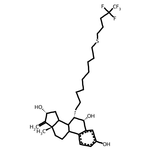 C=C1[C@H](O)CC2C3C(CC[C@]12C)c1ccc(O)cc1[C@@H](O)[C@H]3CCCCCCCCCSCCCC(F)(F)C(F)(F)F